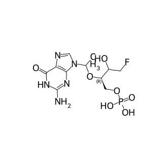 CC(O[C@H](COP(=O)(O)O)C(O)CF)n1cnc2c(=O)[nH]c(N)nc21